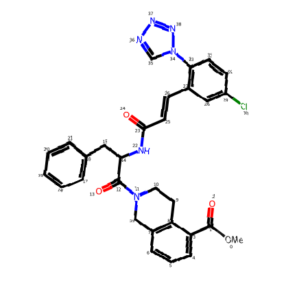 COC(=O)c1cccc2c1CCN(C(=O)C(Cc1ccccc1)NC(=O)C=Cc1cc(Cl)ccc1-n1cnnn1)C2